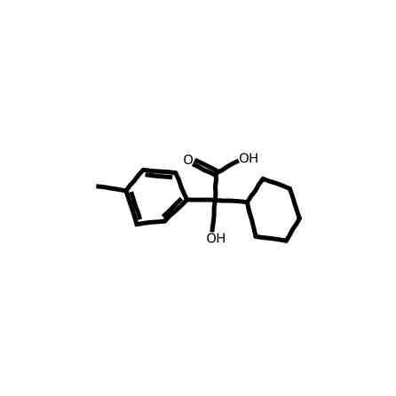 Cc1ccc(C(O)(C(=O)O)C2CCCCC2)cc1